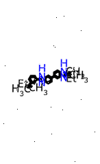 CCC(C)(C)c1cccc(-c2nc3ccc(-c4ccc5[nH]c(C(C)(C)CC)nc5c4)cc3[nH]2)c1